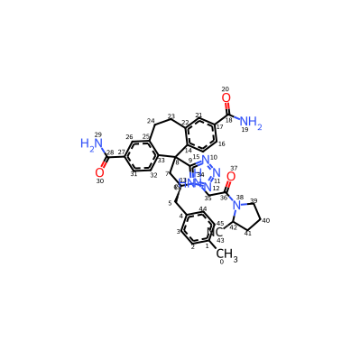 Cc1ccc(C[C@@H](CC2(c3nnn[nH]3)c3ccc(C(N)=O)cc3CCc3cc(C(N)=O)ccc32)NCC(=O)N2CCCC2C#N)cc1